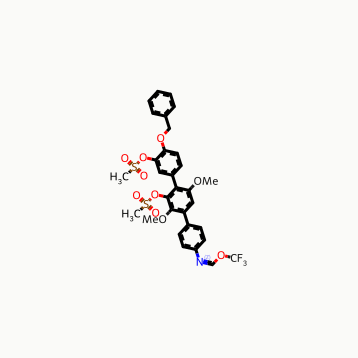 COc1cc(-c2ccc(/N=C\OC(F)(F)F)cc2)c(OC)c(OS(C)(=O)=O)c1-c1ccc(OCc2ccccc2)c(OS(C)(=O)=O)c1